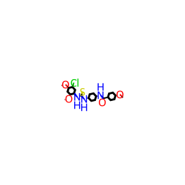 COc1ccc(C(=O)Nc2ccc(NC(=S)Nc3cc(Cl)c(OC)cc3OC)cc2)cc1